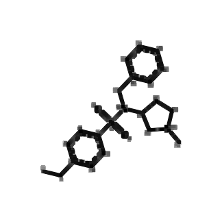 CCc1ccc(S(=O)(=O)N(Cc2ccccc2)C2CCN(C)C2)cc1